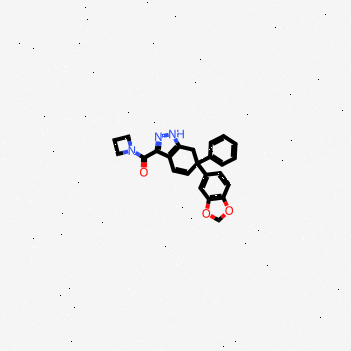 O=C(c1n[nH]c2c1C=CC(c1ccccc1)(c1ccc3c(c1)OCO3)C2)N1CCC1